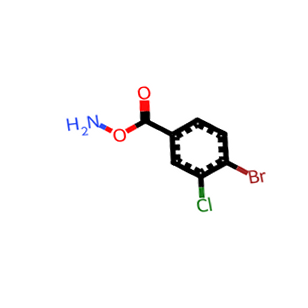 NOC(=O)c1ccc(Br)c(Cl)c1